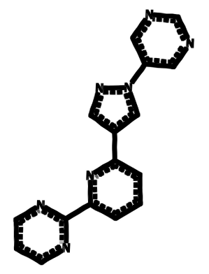 c1cnc(-c2cccc(-c3cnn(-c4cncnc4)c3)n2)nc1